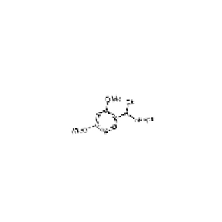 CCCCCCCC(CC)c1ccc(OC)cc1OC